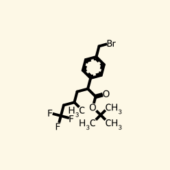 CC(CC(C(=O)OC(C)(C)C)c1ccc(CBr)cc1)CC(F)(F)F